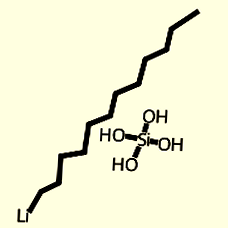 O[Si](O)(O)O.[Li][CH2]CCCCCCCCCCC